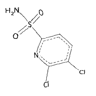 NS(=O)(=O)c1ccc(Cl)c(Cl)n1